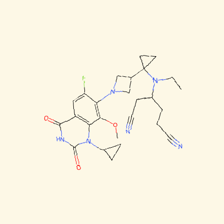 CCN(C(CC#N)CCC#N)C1(C2CN(c3c(F)cc4c(=O)[nH]c(=O)n(C5CC5)c4c3OC)C2)CC1